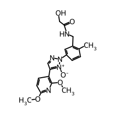 COc1ccc(-c2cnn(-c3ccc(C)c(CNC(=O)CO)c3)[n+]2[O-])c(OC)n1